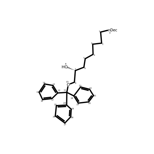 CCCCCCCCCCCCCCCC[C@@H](O)COC(c1ccccc1)(c1ccccc1)c1ccccc1